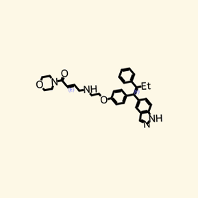 CC/C(=C(/c1ccc(OCCNC/C=C/C(=O)N2CCOCC2)cc1)c1ccc2[nH]ncc2c1)c1ccccc1